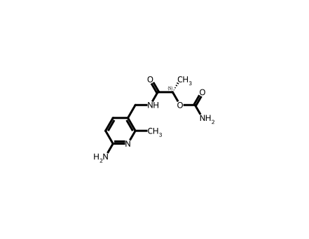 Cc1nc(N)ccc1CNC(=O)[C@H](C)OC(N)=O